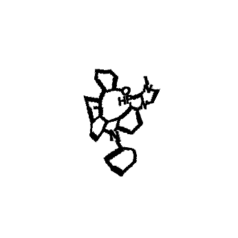 Cc1c2ccc3ccc4c(c13)c1c3c(ccc1n4-c1ccccc1)N1C=CN(C)C1=[PH]3Oc1ccccc1-2